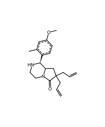 C=CCC1(CC=C)CC2[C@H](c3ccc(OC)cc3C)NCCN2C1=O